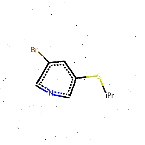 CC(C)Sc1cncc(Br)c1